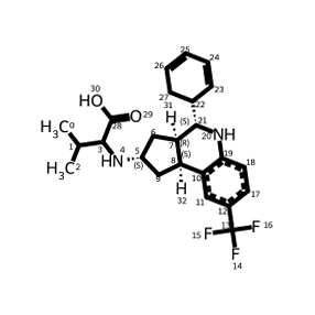 CC(C)C(N[C@@H]1C[C@@H]2[C@H](C1)c1cc(C(F)(F)F)ccc1N[C@H]2C1C=CC=CC1)C(=O)O